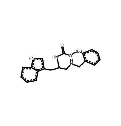 CC(C)(C)OC(=O)NC(CNCc1ccccc1)Cc1c[nH]c2ccccc12